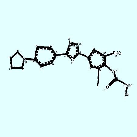 CCNC(=O)Oc1c(F)cc(-c2nc(-c3ccc(N4CCCC4)cc3)ns2)cc1C=O